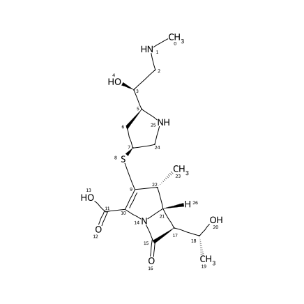 CNC[C@H](O)[C@@H]1C[C@H](SC2=C(C(=O)O)N3C(=O)[C@H]([C@@H](C)O)[C@H]3[C@H]2C)CN1